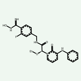 CCO[C@@H](C(=O)NCc1ccc(C(=N)NO)c(F)c1)n1cccc(Nc2ccccc2)c1=O